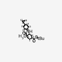 CC(C)(C)OC(=O)N1CCC(C)(C(=O)Nc2ccc(C3CC3)cc2)CC1